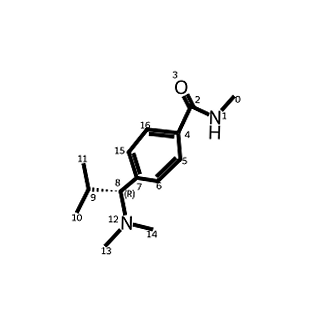 CNC(=O)c1ccc([C@@H](C(C)C)N(C)C)cc1